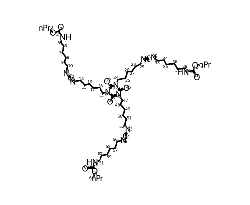 CCCOC(=O)NCCCCCCN=C=NCCCCCCn1c(=O)n(CCCCCCN=C=NCCCCCCNC(=O)OCCC)c(=O)n(CCCCCCN=C=NCCCCCCNC(=O)OCCC)c1=O